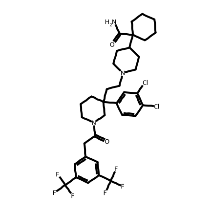 NC(=O)C1(C2CCN(CCC3(c4ccc(Cl)c(Cl)c4)CCCN(C(=O)Cc4cc(C(F)(F)F)cc(C(F)(F)F)c4)C3)CC2)CCCCC1